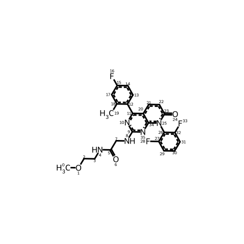 COCCNC(=O)CNc1nc(-c2ccc(F)cc2C)c2ccc(=O)n(-c3c(F)cccc3F)c2n1